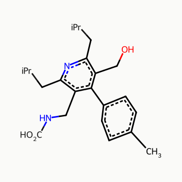 Cc1ccc(-c2c(CO)c(CC(C)C)nc(CC(C)C)c2CNC(=O)O)cc1